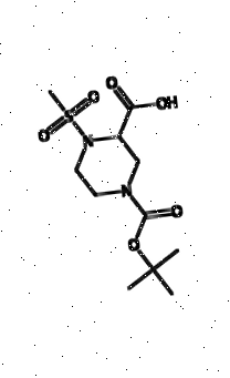 CC(C)(C)OC(=O)N1CCN(S(C)(=O)=O)C(C(=O)O)C1